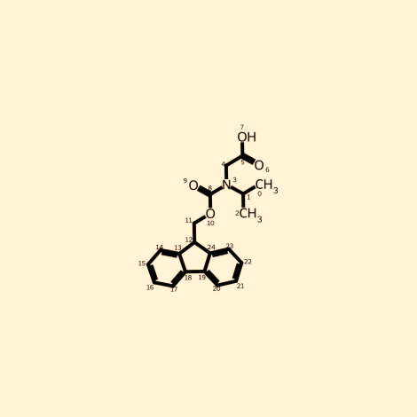 CC(C)N(CC(=O)O)C(=O)OCC1c2ccccc2-c2ccccc21